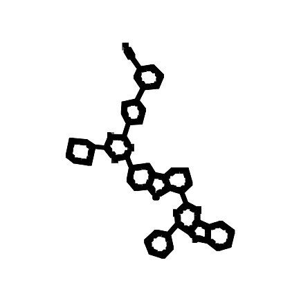 N#Cc1cccc(-c2ccc(-c3nc(-c4ccccc4)nc(-c4ccc5oc6c(-c7nc(-c8ccccc8)c8sc9ccccc9c8n7)cccc6c5c4)n3)cc2)c1